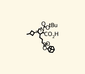 CC1CC([C@H]2CN(C(=O)OC(C)(C)C)C(C(=O)O)C2CCCB2OC3CC4CC(C3O2)C4(C)C)C1